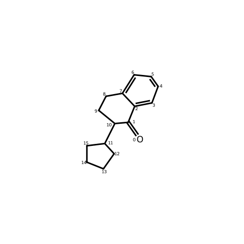 O=C1c2ccccc2CCC1C1CCCC1